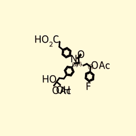 CC(=O)OCC(O)(CO)CCc1ccc([C@@H]2[C@@H](CC[C@H](OC(C)=O)c3ccc(F)cc3)C(=O)N2c2ccc(CCC(=O)O)cc2)cc1